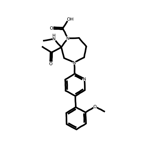 CNC1(C(C)=O)CN(c2ccc(-c3ccccc3OC)cn2)CCCN1C(=O)O